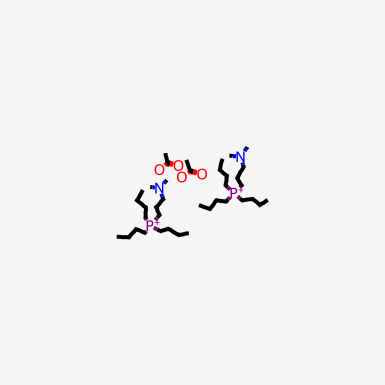 CC(=O)[O-].CC(=O)[O-].CCCC[P+](CCCC)(CCCC)CCCN(C)C.CCCC[P+](CCCC)(CCCC)CCCN(C)C